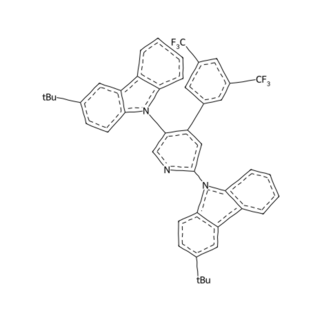 CC(C)(C)c1ccc2c(c1)c1ccccc1n2-c1cc(-c2cc(C(F)(F)F)cc(C(F)(F)F)c2)c(-n2c3ccccc3c3cc(C(C)(C)C)ccc32)cn1